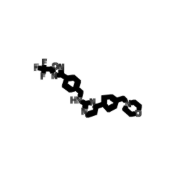 FC(F)(F)c1nc(-c2ccc(CNc3nccc(-c4ccc(CN5CCOCC5)cc4)n3)cc2)no1